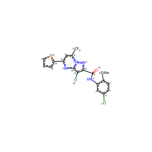 COc1ccc(Cl)cc1NC(=O)c1nn2c(C(F)(F)F)cc(-c3cccs3)nc2c1Cl